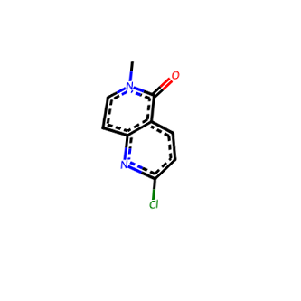 Cn1ccc2nc(Cl)ccc2c1=O